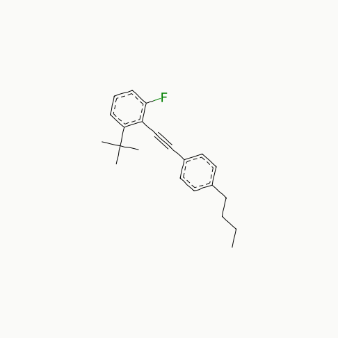 CCCCc1ccc(C#Cc2c(F)cccc2C(C)(C)C)cc1